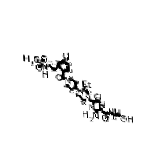 CC[C@H]1CN(c2nc(N)c(C(=O)NCCO)nc2Cl)CCN1C1CCN(C(=O)c2ccc(Cl)cc2CCNS(C)(=O)=O)CC1